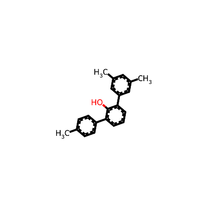 Cc1ccc(-c2cccc(-c3cc(C)cc(C)c3)c2O)cc1